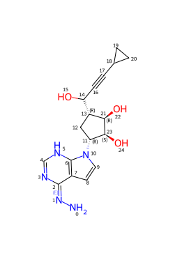 N/N=c1/nc[nH]c2c1ccn2[C@@H]1C[C@H](C(O)C#CC2CC2)[C@@H](O)[C@H]1O